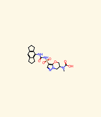 CN(C(=O)O)C1COc2c(S(=O)(=O)NC(=O)Nc3c4c(cc5c3CCC5)CCC4)cnn2C1